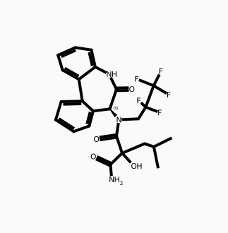 CC(C)CC(O)(C(N)=O)C(=O)N(CC(F)(F)C(F)(F)F)[C@@H]1C(=O)Nc2ccccc2-c2ccccc21